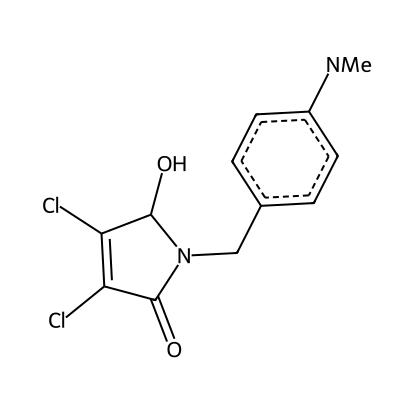 CNc1ccc(CN2C(=O)C(Cl)=C(Cl)C2O)cc1